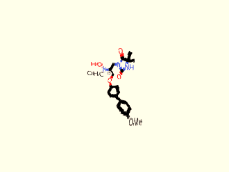 COc1ccc(-c2ccc(OC[C@H](CN3C(=O)NC(C)(C)C3=O)N(O)C=O)cc2)cc1